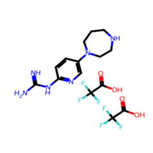 N=C(N)Nc1ccc(N2CCCNCC2)cn1.O=C(O)C(F)(F)F.O=C(O)C(F)(F)F